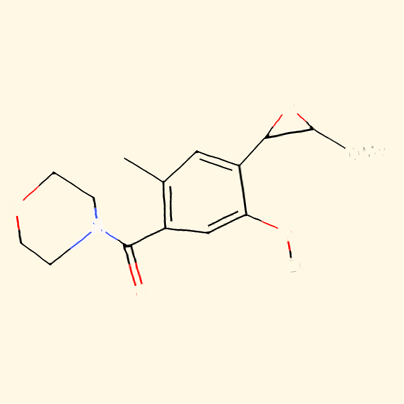 CCOc1cc(C(=O)N2CCOCC2)c(C)cc1C1OC1OC